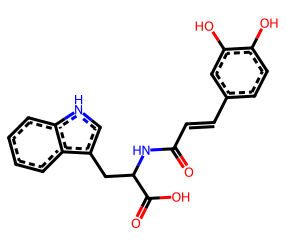 O=C(C=Cc1ccc(O)c(O)c1)NC(Cc1c[nH]c2ccccc12)C(=O)O